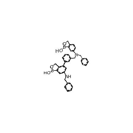 OB1OCc2ccc(N(Cc3ccccc3)Cc3cccc(-c4cc(NCc5ccccc5)cc5c4COB5O)c3)cc21